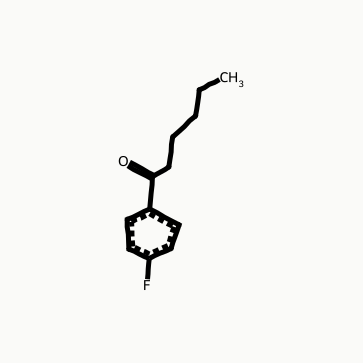 CCCCCC(=O)c1ccc(F)cc1